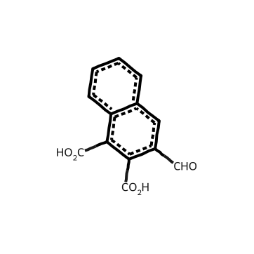 O=Cc1cc2ccccc2c(C(=O)O)c1C(=O)O